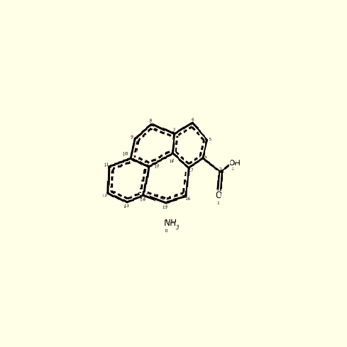 N.O=C(O)c1ccc2ccc3cccc4ccc1c2c34